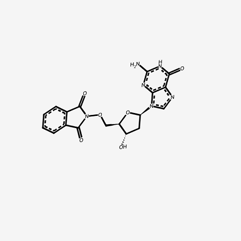 Nc1nc2c(ncn2[C@H]2C[C@H](O)[C@@H](CON3C(=O)c4ccccc4C3=O)O2)c(=O)[nH]1